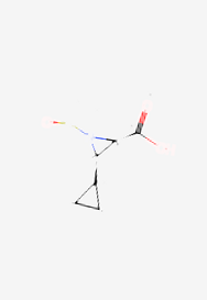 C[S@@+]([O-])N1[C@H](C2CC2)[C@@H]1C(=O)O